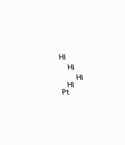 I.I.I.I.[Pt]